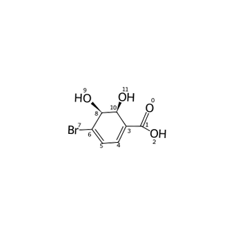 O=C(O)C1=CC=C(Br)[C@@H](O)[C@H]1O